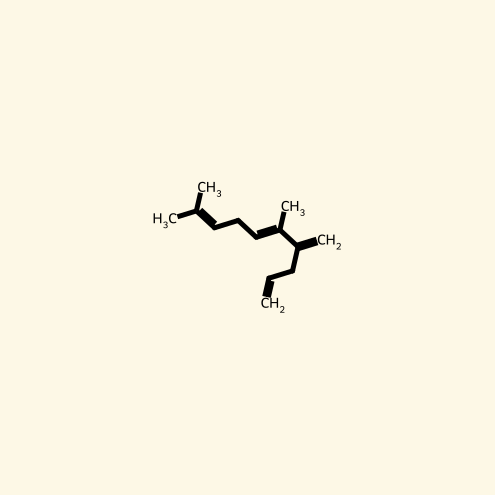 C=CCC(=C)C(C)=CCC=C(C)C